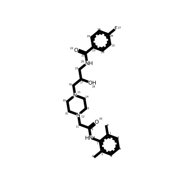 Cc1cccc(C)c1NC(=O)CN1CCN(CC(O)CNC(=O)c2ccc(F)cc2)CC1